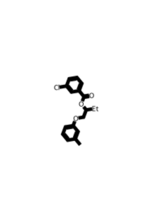 CCC(COc1cccc(C)c1)OC(=O)c1cccc(Cl)c1